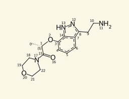 C[C@H](Oc1cccc2c(CCN)n[nH]c12)C(=O)N1CCOCC1